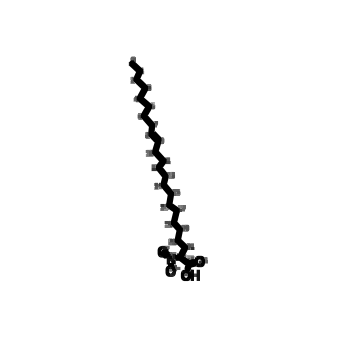 CCCCCCCCC=CCCCCCCCCCCCCC(C(=O)O)[N+](=O)[O-]